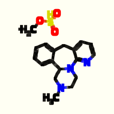 CN1CCN2c3ncccc3Cc3ccccc3C2C1.[CH2]O[SH](=O)=O